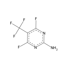 Nc1nc(F)c(C(F)(F)F)c(F)n1